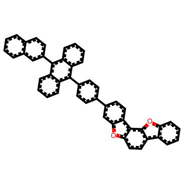 c1ccc2cc(-c3c4ccccc4c(-c4ccc(-c5ccc6c(c5)oc5ccc7c8ccccc8oc7c56)cc4)c4ccccc34)ccc2c1